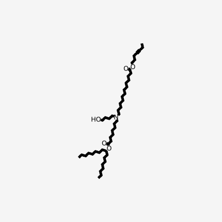 CCC#CCCCOC(=O)CCCCCCCCCCCCCN(CCCCO)CCCCCCCC(=O)OC(CCCCCCCC)CCCCCCCC